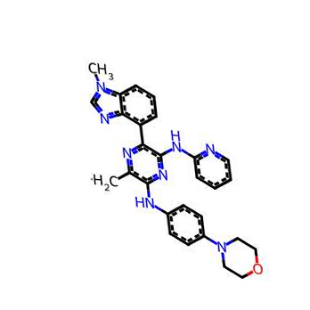 [CH2]c1nc(-c2cccc3c2ncn3C)c(Nc2ccccn2)nc1Nc1ccc(N2CCOCC2)cc1